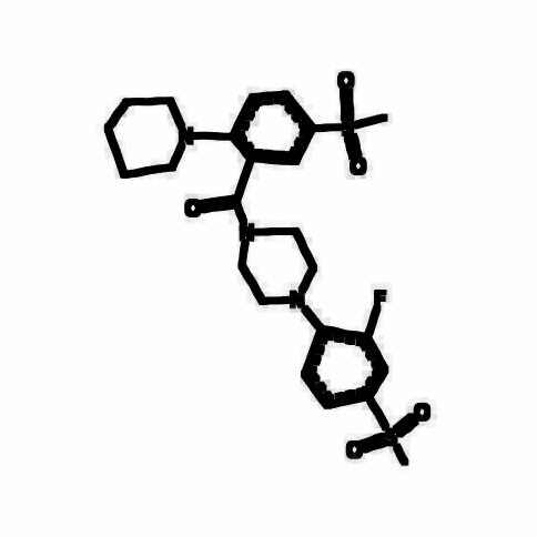 CS(=O)(=O)c1ccc(N2CCN(C(=O)c3cc(S(C)(=O)=O)ccc3N3CCCCC3)CC2)c(F)c1